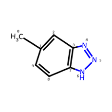 Cc1[c]c2nn[nH]c2cc1